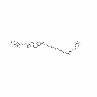 CN(CCCCC1COC(C)(C)OC1)CCOCCSSCCOCCCOc1ccc2c(c1)CCC1C2CC[C@@]2(C)C1CC[C@@H]2OCCCOC(C(F)(F)F)(C(F)(F)F)C(F)(F)F